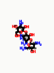 NCC1O[C@H](OC2C(O)[C@@H](O[C@H]3OC(CO)[C@@H](O)C(N)C3O)C(N)C[C@@H]2N)C(N)C[C@@H]1O